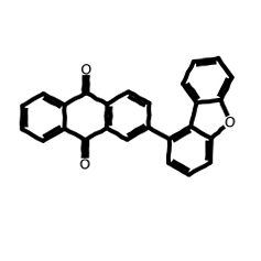 O=C1c2ccccc2C(=O)c2cc(-c3cccc4oc5ccccc5c34)ccc21